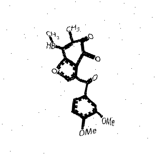 CBC1=C(C)C(=O)C(=O)c2c(C(=O)c3ccc(OC)c(OC)c3)coc21